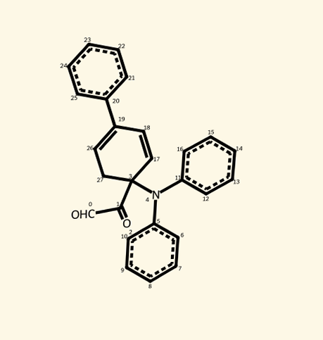 O=CC(=O)C1(N(c2ccccc2)c2ccccc2)C=CC(c2ccccc2)=CC1